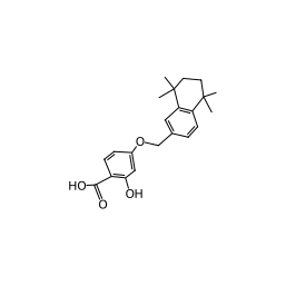 CC1(C)CCC(C)(C)c2cc(COc3ccc(C(=O)O)c(O)c3)ccc21